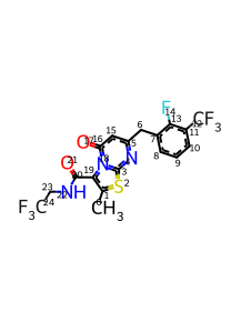 Cc1sc2nc(Cc3cccc(C(F)(F)F)c3F)cc(=O)n2c1C(=O)NCC(F)(F)F